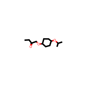 CCC(=O)COC1CCC(OC(C)C)CC1